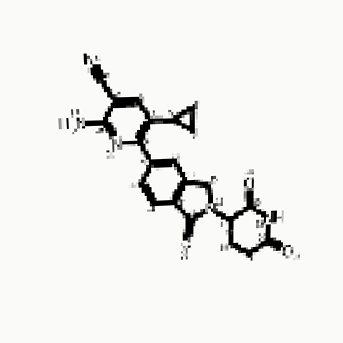 N#Cc1cc(C2CC2)c(-c2ccc3c(c2)CN(C2CCC(=O)NC2=O)C3=O)nc1N